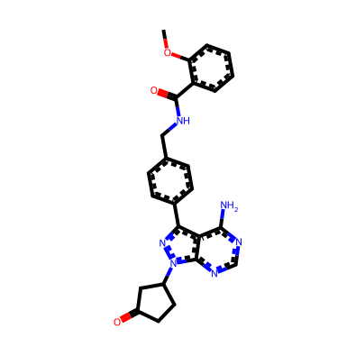 COc1ccccc1C(=O)NCc1ccc(-c2nn(C3CCC(=O)C3)c3ncnc(N)c23)cc1